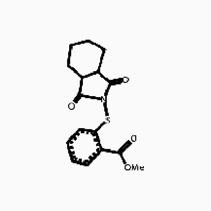 COC(=O)c1ccccc1SN1C(=O)C2CCCCC2C1=O